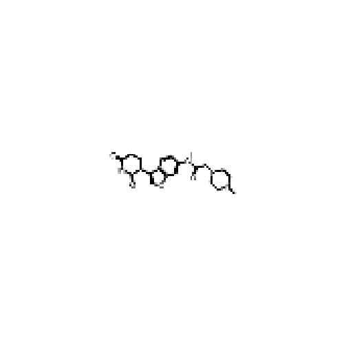 CN1CCN(CC(=O)Nc2ccc3c(C4CCC(=O)NC4=O)coc3c2)CC1